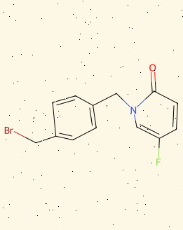 O=c1ccc(F)cn1Cc1ccc(CBr)cc1